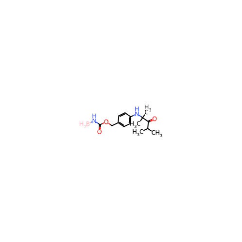 BNC(=O)OCc1ccc(NC(C)(C)C(=O)C(C)C)cc1